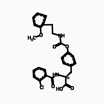 COc1ccccc1CCNC(=O)Oc1ccc(C[C@H](NC(=O)c2ccccc2Cl)C(=O)O)cc1